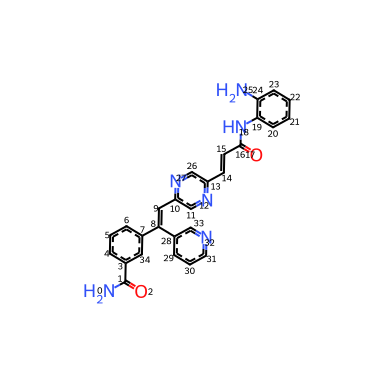 NC(=O)c1cccc(/C(=C/c2cnc(/C=C/C(=O)Nc3ccccc3N)cn2)c2cccnc2)c1